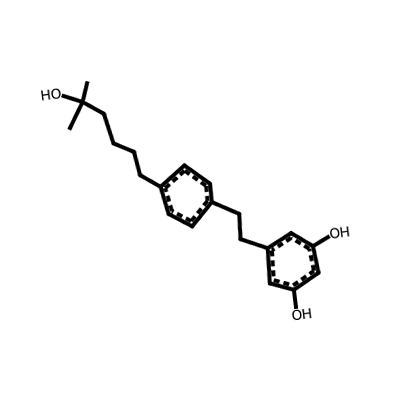 CC(C)(O)CCCCc1ccc(CCc2cc(O)cc(O)c2)cc1